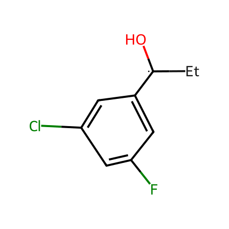 CC[C](O)c1cc(F)cc(Cl)c1